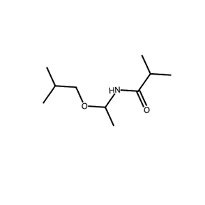 CC(C)COC(C)NC(=O)C(C)C